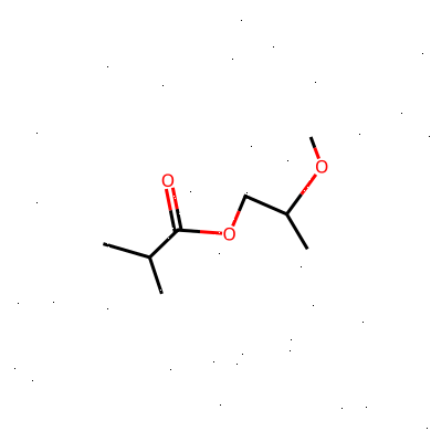 COC(C)COC(=O)C(C)C